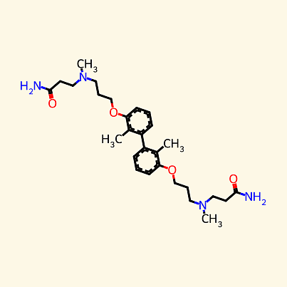 Cc1c(OCCCN(C)CCC(N)=O)cccc1-c1cccc(OCCCN(C)CCC(N)=O)c1C